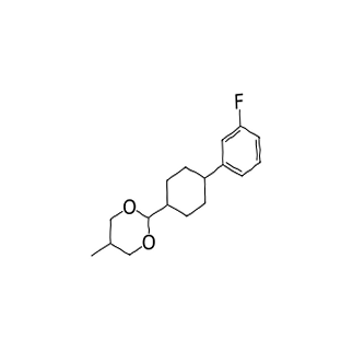 CC1COC(C2CCC(c3cccc(F)c3)CC2)OC1